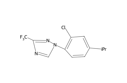 CC(C)c1ccc(-n2cnc(C(F)(F)F)n2)c(Cl)c1